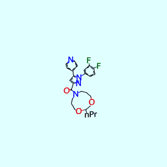 CCCC1COCCCN(C(=O)c2cc(-c3ccncc3)n(-c3ccc(F)c(F)c3)n2)CCCO1